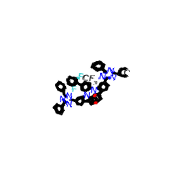 Fc1cccc(F)c1-c1cc(-n2c3ccccc3c3ccc(-c4nc(-c5ccccc5)nc(-c5ccccc5)n4)cc32)c(-n2c3ccccc3c3ccc(-c4nc(-c5ccccc5)nc(-c5ccccc5)n4)cc32)cc1C(F)(F)F